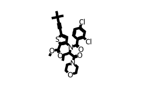 CCC(C(=O)N1CCOCC1)N(C(=O)c1ccc(Cl)cc1Cl)c1cc(C#CC(C)(C)C)sc1C(=O)OC